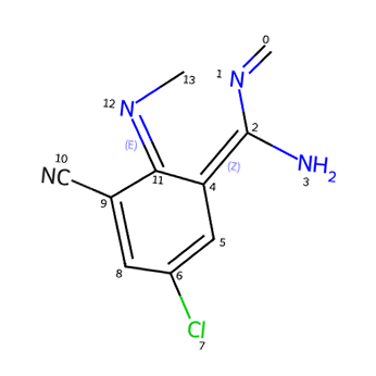 C=N/C(N)=C1/C=C(Cl)C=C(C#N)/C1=N/C